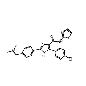 CN(C)Cc1ccc(-c2nc(C(=O)Nc3nccs3)c(-c3ccc(Cl)cc3)[nH]2)cc1